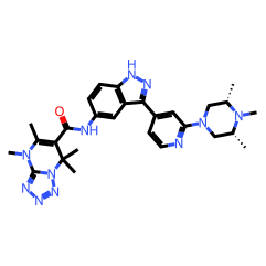 CC1=C(C(=O)Nc2ccc3[nH]nc(-c4ccnc(N5C[C@@H](C)N(C)[C@@H](C)C5)c4)c3c2)C(C)(C)n2nnnc2N1C